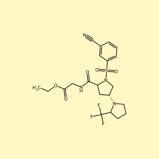 CCOC(=O)CNC(=O)C1C[C@@H](N2CCCC2C(F)(F)F)CN1S(=O)(=O)c1cccc(C#N)c1